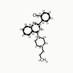 CCCN1CCN(c2nc(-c3ccccc3Cl)nc3ccccc23)CC1